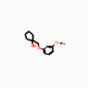 CC[C@H](C)Oc1cccc(OCC2(O)CCCC2)c1